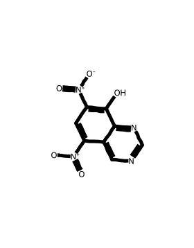 O=[N+]([O-])c1cc([N+](=O)[O-])c2cncnc2c1O